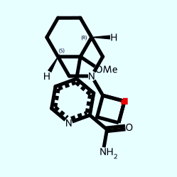 COC1(c2ccnc(C(N)=O)c2)[C@@H]2CCC[C@H]1CN(C13CC(C1)C3)C2